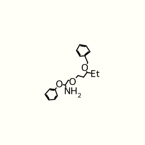 CCC(CCOCC(N)Oc1ccccc1)OCc1ccccc1